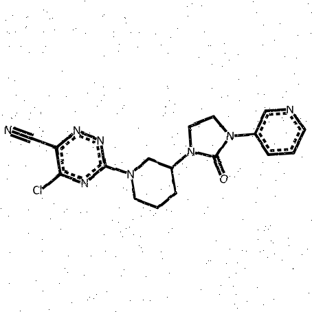 N#Cc1nnc(N2CCCC(N3CCN(c4cccnc4)C3=O)C2)nc1Cl